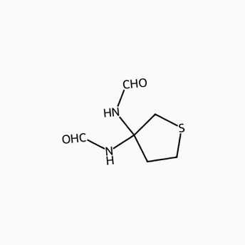 O=CNC1(NC=O)CCSC1